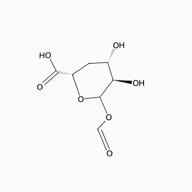 O=COC1O[C@H](C(=O)O)C[C@H](O)[C@H]1O